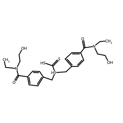 CCN(CCO)C(=O)c1ccc(C[SH](Cc2ccc(C(=O)N(CC)CCO)cc2)C(=S)S)cc1